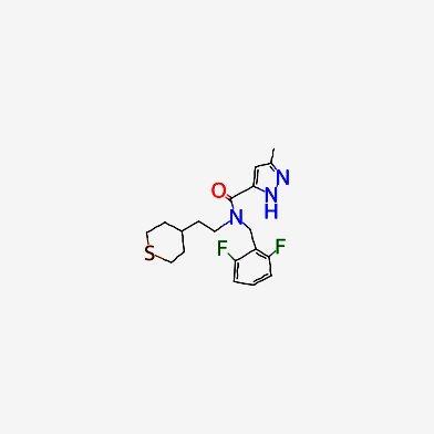 Cc1cc(C(=O)N(CCC2CCSCC2)Cc2c(F)cccc2F)[nH]n1